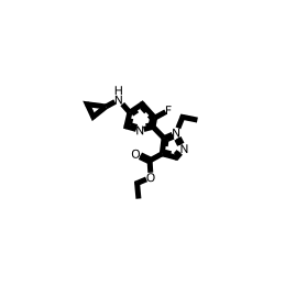 CCOC(=O)c1cnn(CC)c1-c1ncc(NC2CC2)cc1F